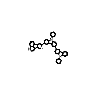 c1ccc(-n2c3ccccc3c3cc(-c4ccc5c(c4)c4cc(-c6cc7c(cn6)-c6ccnc8cccc-7c68)ccc4n5-c4ccccc4)ccc32)cc1